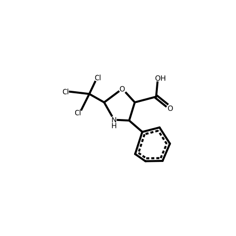 O=C(O)C1OC(C(Cl)(Cl)Cl)NC1c1ccccc1